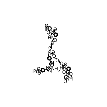 CC(C)S(=O)(=O)c1ccc(-c2cnc(N)c(-c3cc(-c4ccc(CN(CCOCCOCC(=O)Nc5cccc6c5C(=O)N(C5CCC(=O)NC5=O)C6=O)C(=O)COCCOCCOCC(=O)Nc5cccc6c5C(=O)N(C5CCC(=O)NC5=O)C6=O)cc4)no3)n2)cc1